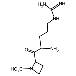 N=C(N)NCCCC(N)C(=O)C1CCN1C(=O)O